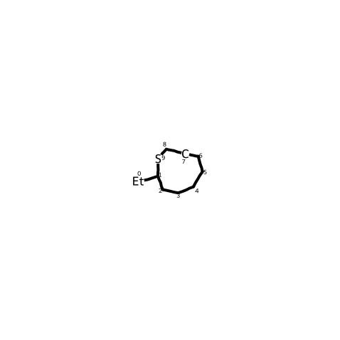 CCC1CCCCCCCS1